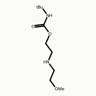 COCCNCCOC(=O)NC(C)(C)C